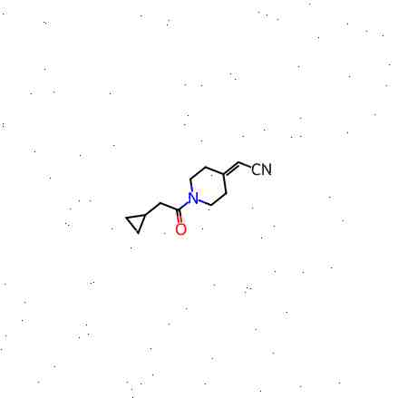 N#CC=C1CCN(C(=O)CC2CC2)CC1